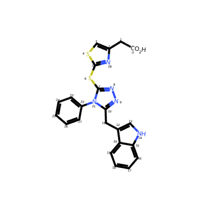 O=C(O)Cc1csc(Sc2nnc(Cc3c[nH]c4ccccc34)n2-c2ccccc2)n1